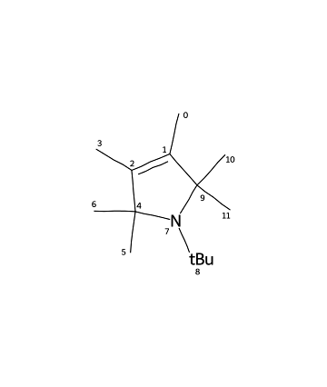 CC1=C(C)C(C)(C)N(C(C)(C)C)C1(C)C